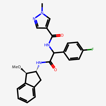 CO[C@@H]1c2ccccc2C[C@H]1NC(=O)C(NC(=O)c1cnn(C)c1)c1ccc(F)cc1